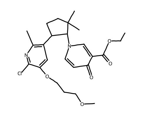 CCOC(=O)c1cn(C2C(c3cc(OCCCOC)c(Cl)nc3C)CCC2(C)C)ccc1=O